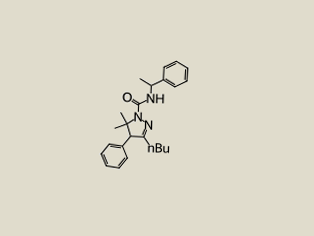 CCCCC1=NN(C(=O)NC(C)c2ccccc2)C(C)(C)C1c1ccccc1